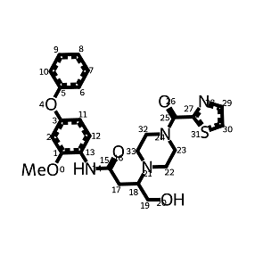 COc1cc(Oc2ccccc2)ccc1NC(=O)CC(CO)N1CCN(C(=O)c2nccs2)CC1